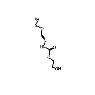 [3H]SOC=NNC(=O)OCCO